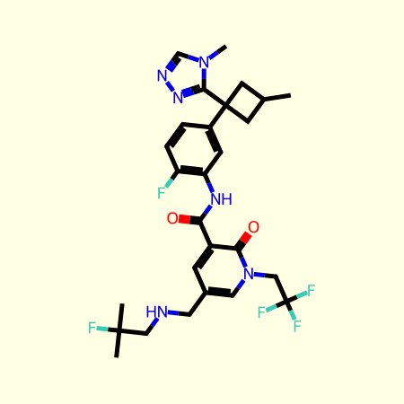 CC1CC(c2ccc(F)c(NC(=O)c3cc(CNCC(C)(C)F)cn(CC(F)(F)F)c3=O)c2)(c2nncn2C)C1